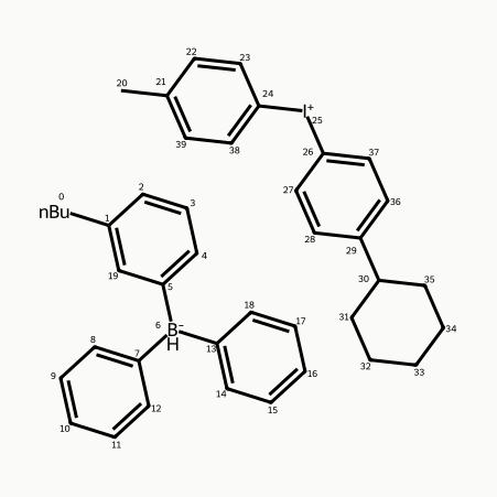 CCCCc1cccc([BH-](c2ccccc2)c2ccccc2)c1.Cc1ccc([I+]c2ccc(C3CCCCC3)cc2)cc1